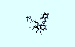 COCCn1c(C)c(C)c2ccnc(OCc3ccccc3F)c21.Cl